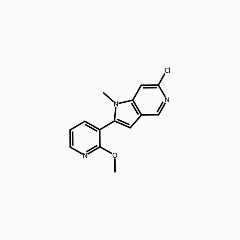 COc1ncccc1-c1cc2cnc(Cl)cc2n1C